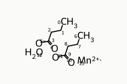 CCCC(=O)[O-].CCCC(=O)[O-].O.[Mn+2]